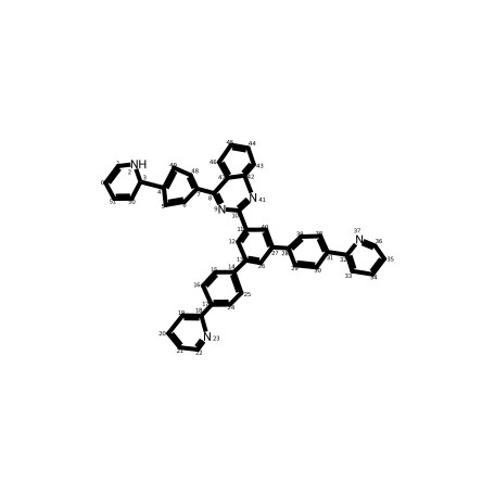 C1=CNC(c2ccc(-c3nc(-c4cc(-c5ccc(-c6ccccn6)cc5)cc(-c5ccc(-c6ccccn6)cc5)c4)nc4ccccc34)cc2)C=C1